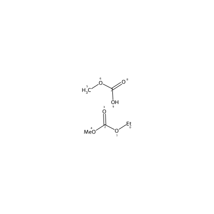 CCOC(=O)OC.COC(=O)O